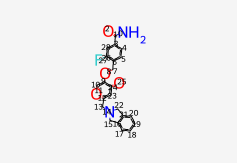 NC(=O)c1ccc(COc2coc(CN3Cc4ccccc4C3)cc2=O)c(F)c1